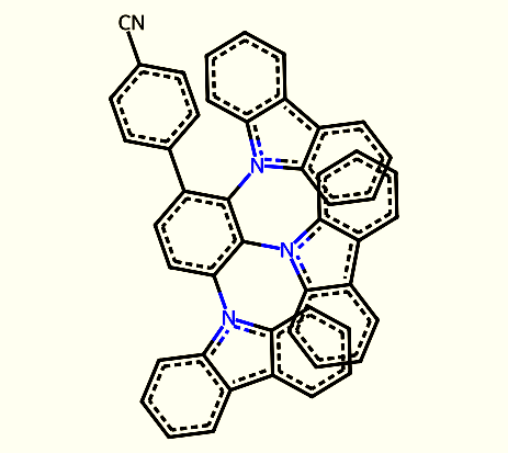 N#Cc1ccc(-c2ccc(-n3c4ccccc4c4ccccc43)c(-n3c4ccccc4c4ccccc43)c2-n2c3ccccc3c3ccccc32)cc1